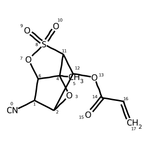 [C-]#[N+]C1C2OC3(C)C1OS(=O)(=O)C3C2OC(=O)C=C